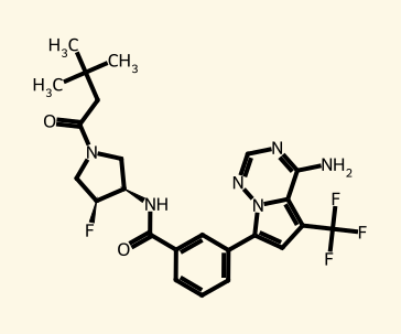 CC(C)(C)CC(=O)N1C[C@H](F)[C@H](NC(=O)c2cccc(-c3cc(C(F)(F)F)c4c(N)ncnn34)c2)C1